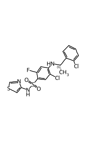 C[C@H](Nc1cc(F)c(S(=O)(=O)Nc2cscn2)cc1Cl)c1ccccc1Cl